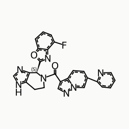 O=C(c1cnn2cc(-c3ccccn3)ccc12)N1CCc2[nH]cnc2[C@H]1c1nc2c(F)cccc2o1